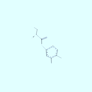 N[C@@H](CO)C(=O)Nc1ccc(Cl)c(C(F)(F)F)c1